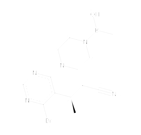 CB(O)N1CCN(c2ncnc(Br)c2[C@H](C)CC#N)CC1